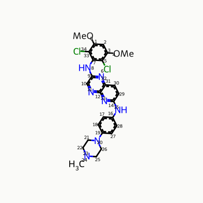 COc1cc(OC)c(Cl)c(Nc2cnc3nc(Nc4ccc(N5CCN(C)CC5)cc4)ccc3n2)c1Cl